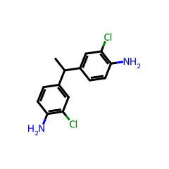 CC(c1ccc(N)c(Cl)c1)c1ccc(N)c(Cl)c1